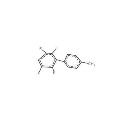 Cc1ccc(-c2c(F)c(F)cc(F)c2F)cc1